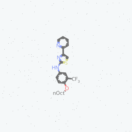 CCCCCCCCOc1ccc(Nc2nc(-c3ccccn3)cs2)cc1C(F)(F)F